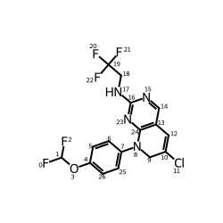 FC(F)Oc1ccc(N2CC(Cl)=Cc3cnc(NCC(F)(F)F)nc32)cc1